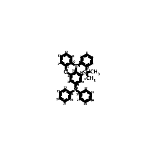 C[Si]1(C)c2ccccc2B2c3ccccc3Oc3cc(N(c4ccccc4)c4ccccc4)cc1c32